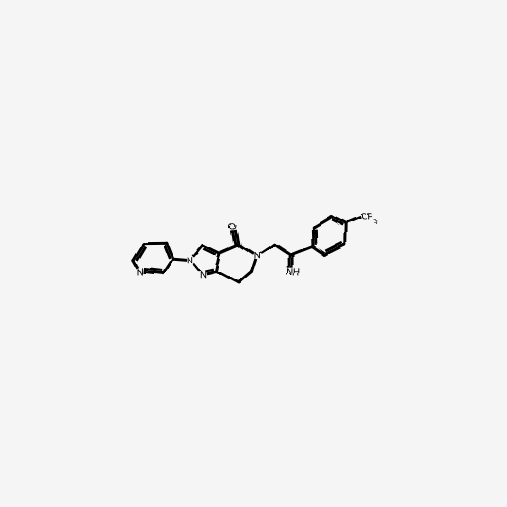 N=C(CN1CCc2nn(-c3cccnc3)cc2C1=O)c1ccc(C(F)(F)F)cc1